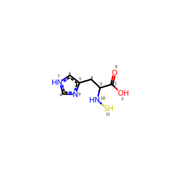 O=C(O)C(Cc1c[nH]cn1)NS